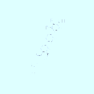 Cc1ccc(-c2ccc(-c3ccc(C4=CCC(C5CCCCC5)CC4)c(F)c3)cc2)c(F)c1F